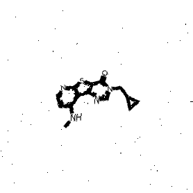 CNc1ccnc2sc3c(=O)n(CC4CC4)cnc3c12